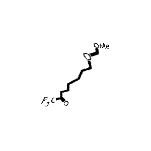 COCOCCCCCCC(=O)C(F)(F)F